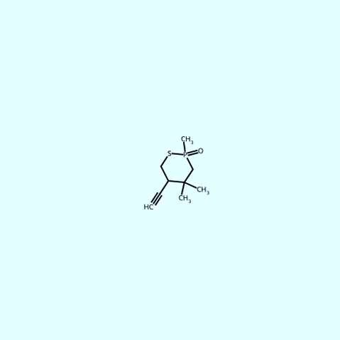 C#CC1CSP(C)(=O)CC1(C)C